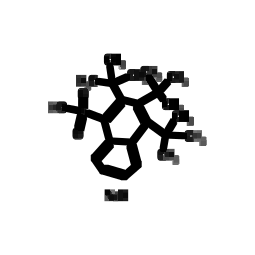 CC(C)(C)c1c(C(C)(C)C)c(S(=O)(=O)O)c2ccccc2c1C(C)(C)C.[NaH]